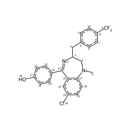 CN1CC(Cc2ccc(C(F)(F)F)cc2)N=C(c2ccc(O)cc2)c2cc(Cl)ccc21